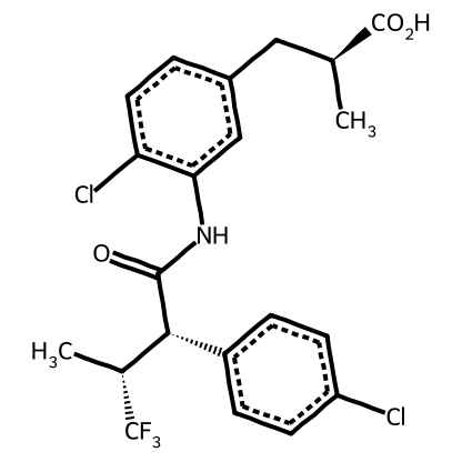 C[C@H]([C@H](C(=O)Nc1cc(C[C@H](C)C(=O)O)ccc1Cl)c1ccc(Cl)cc1)C(F)(F)F